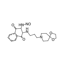 O=NNC1C(=O)c2ccccc2C(=O)C1NCCCN1CCC2(CC1)OCCO2